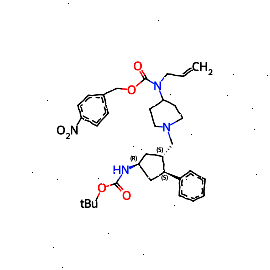 C=CCN(C(=O)OCc1ccc([N+](=O)[O-])cc1)C1CCN(C[C@H]2C[C@H](NC(=O)OC(C)(C)C)C[C@@H]2c2ccccc2)CC1